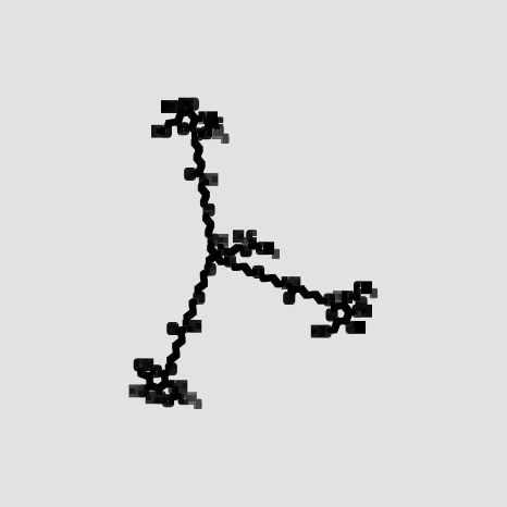 CC(=O)NC1C(OCCCCC(=O)NCCCOCCCOCC(COCCCOCCCNC(=O)CCCCOC2OC(CO)C(O)C(O)C2NC(C)=O)(COCCCOCCCNC(=O)CCCCOC2OC(CO)C(O)C(O)C2NC(C)=O)NCCOC(C)C)OC(CO)C(O)C1O